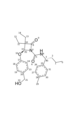 CCC[C@@H](NC(=O)N1C(=O)C(CC)(CC)[C@@H]1Oc1ccc(CO)cc1)c1ccc(C)cc1